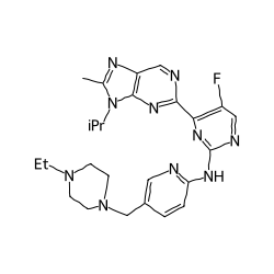 CCN1CCN(Cc2ccc(Nc3ncc(F)c(-c4ncc5nc(C)n(C(C)C)c5n4)n3)nc2)CC1